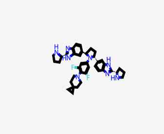 Fc1cc(N2[C@@H](c3ccc4nc([C@@H]5CCCN5)[nH]c4c3)CC[C@@H]2c2ccc3nc([C@@H]4CCCN4)[nH]c3c2)cc(F)c1N1CCC2(CC1)CC2